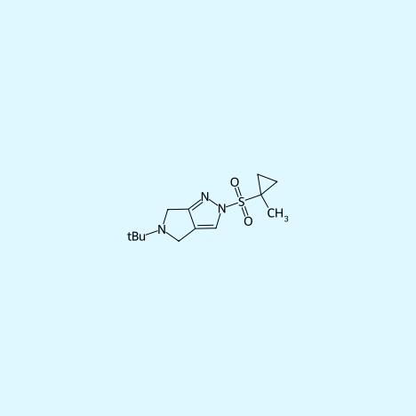 CC(C)(C)N1Cc2cn(S(=O)(=O)C3(C)CC3)nc2C1